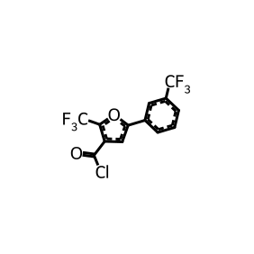 O=C(Cl)c1cc(-c2cccc(C(F)(F)F)c2)oc1C(F)(F)F